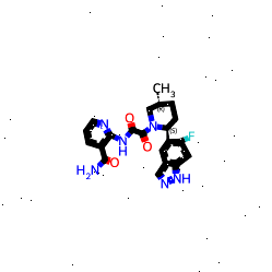 C[C@@H]1CC[C@@H](c2cc3cn[nH]c3cc2F)N(C(=O)C(=O)Nc2ncccc2C(N)=O)C1